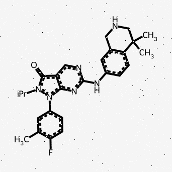 Cc1cc(-n2c3nc(Nc4ccc5c(c4)CNCC5(C)C)ncc3c(=O)n2C(C)C)ccc1F